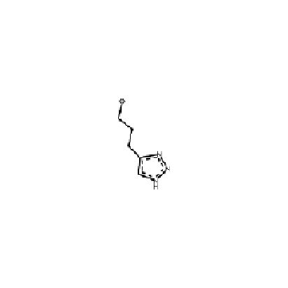 [O]CCCc1c[nH]nn1